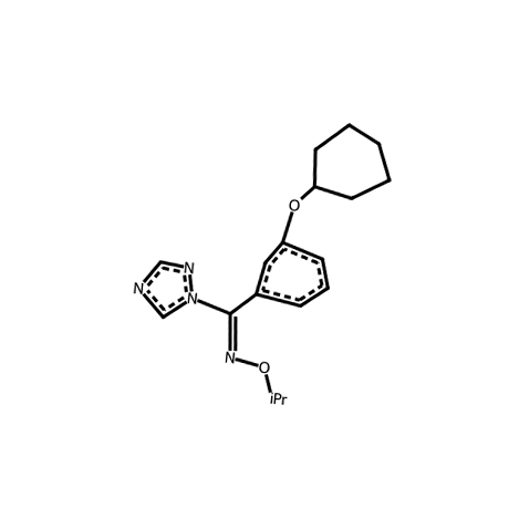 CC(C)O/N=C(\c1cccc(OC2CCCCC2)c1)n1cncn1